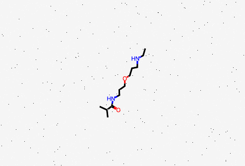 CCNCCCOCCCNC(=O)C(C)C